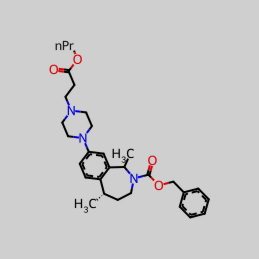 CCCOC(=O)CCN1CCN(c2ccc3c(c2)C(C)N(C(=O)OCc2ccccc2)CC[C@@H]3C)CC1